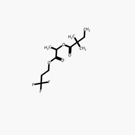 CCC(C)(C)C(=O)OC(C)C(=O)OCCC(F)(F)F